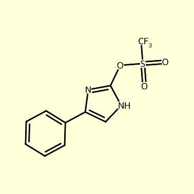 O=S(=O)(Oc1nc(-c2ccccc2)c[nH]1)C(F)(F)F